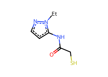 CCn1nccc1NC(=O)CS